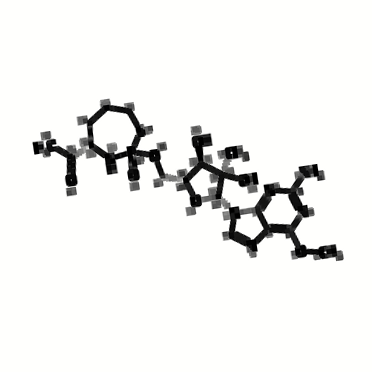 COc1nc(N)nc2c1ncn2[C@@H]1O[C@H](COP2(=O)N[C@H](C(C)=O)CCCS2)[C@@H](O)[C@@]1(C)O